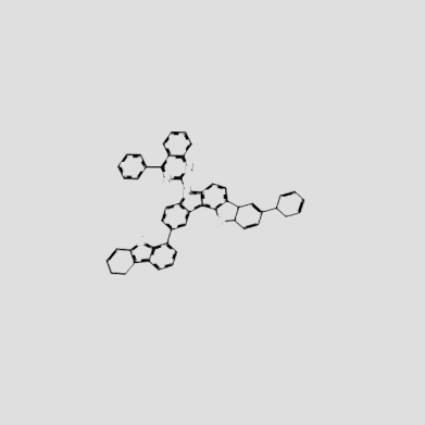 C1=CCC(C2=CC3c4ccc5c(c4SC3C=C2)c2cc(-c3cccc4c6c(sc34)C=CCC6)ccc2n5-c2nc(-c3ccccc3)c3ccccc3n2)C=C1